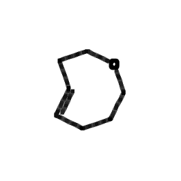 C1=C/CCOCCC/1